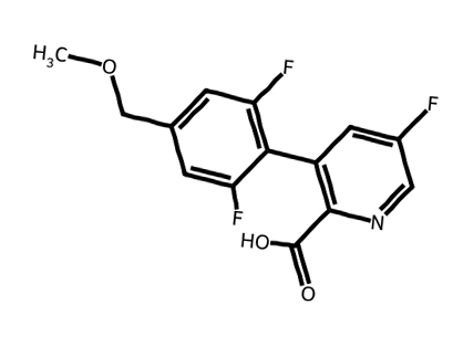 COCc1cc(F)c(-c2cc(F)cnc2C(=O)O)c(F)c1